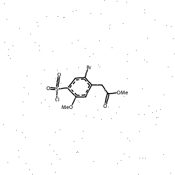 COC(=O)Cc1cc(OC)c(S(=O)(=O)Cl)cc1Br